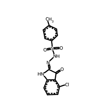 Cc1ccc(S(=O)(=O)NN=C2Nc3cccc(Cl)c3C2=O)cc1